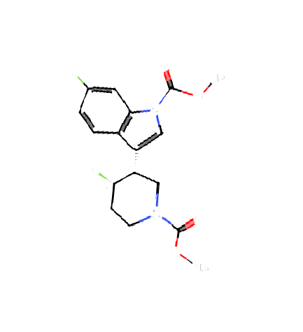 CC(C)(C)OC(=O)N1CC[C@@H](F)[C@H](c2cn(C(=O)OC(C)(C)C)c3cc(F)ccc23)C1